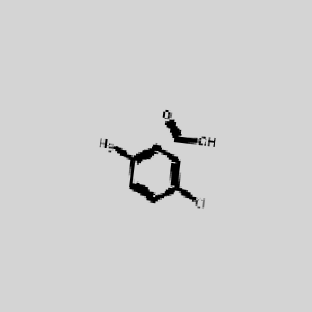 Clc1cc[c]([Hg])cc1.O=CO